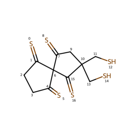 S=C1CCC(=S)C12C(=S)CC(CS)(CS)C2=S